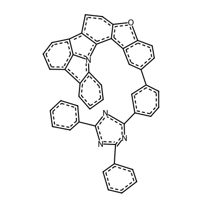 c1ccc(-c2nc(-c3ccccc3)nc(-c3cccc(-c4ccc5oc6ccc7c8cccc9c%10ccccc%10n(c98)c7c6c5c4)c3)n2)cc1